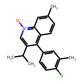 Cc1ccc2c(-c3ccc(F)c(C)c3)c(C(C)C)c[n+]([O-])c2c1